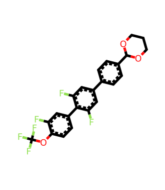 Fc1cc(-c2c(F)cc(-c3ccc(C4OCCCO4)cc3)cc2F)ccc1OC(F)(F)F